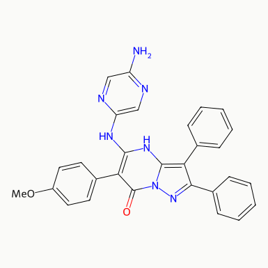 COc1ccc(-c2c(Nc3cnc(N)cn3)[nH]c3c(-c4ccccc4)c(-c4ccccc4)nn3c2=O)cc1